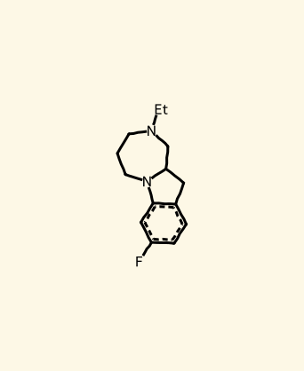 CCN1CCCN2c3cc(F)ccc3CC2C1